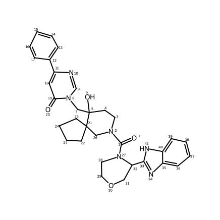 O=C(N1CCC(O)(Cn2cnc(-c3ccccc3)cc2=O)C2(CCCC2)C1)N1CCOCC1c1nc2ccccc2[nH]1